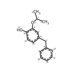 CC(C)Oc1cc(Cc2ccccn2)ccc1O